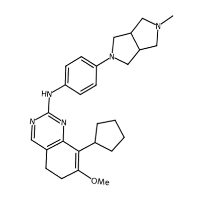 COC1=C(C2CCCC2)c2nc(Nc3ccc(N4CC5CN(C)CC5C4)cc3)ncc2CC1